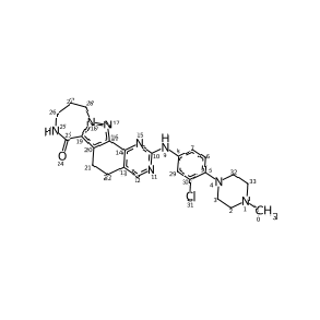 CN1CCN(c2ccc(Nc3ncc4c(n3)-c3nn5c(c3CC4)C(=O)NCCC5)cc2Cl)CC1